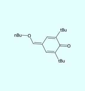 CCCCOC=C1C=C(C(C)(C)C)C(=O)C(C(C)(C)C)=C1